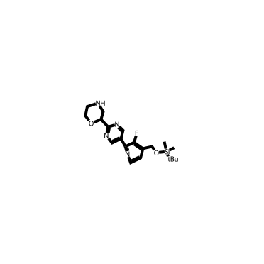 CC(C)(C)[Si](C)(C)OCc1ccnc(-c2cnc(C3CNCCO3)nc2)c1F